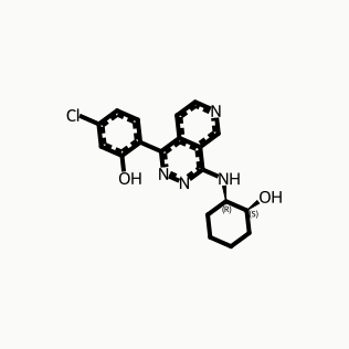 Oc1cc(Cl)ccc1-c1nnc(N[C@@H]2CCCC[C@@H]2O)c2cnccc12